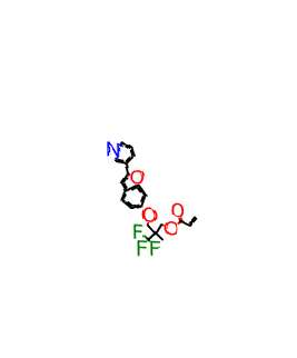 C=CC(=O)OCC(C)(COc1ccc2cc(-c3cccnc3)oc2c1)C(F)(F)F